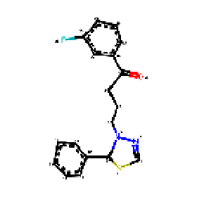 O=C(CCCN1N=CSC1c1ccccc1)c1cccc(F)c1